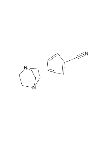 C1CN2CCN1CC2.N#Cc1ccccc1